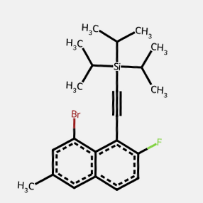 Cc1cc(Br)c2c(C#C[Si](C(C)C)(C(C)C)C(C)C)c(F)ccc2c1